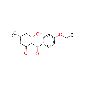 CCOc1ccc(C(=O)C2=C(O)CC(C)CC2=O)cc1